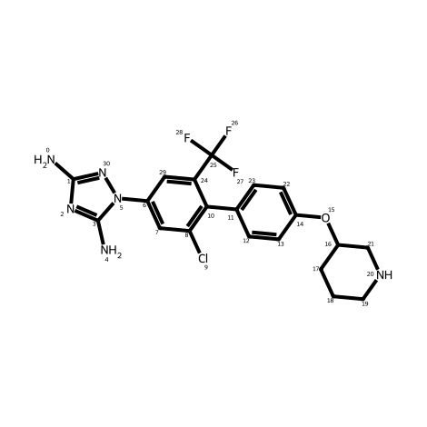 Nc1nc(N)n(-c2cc(Cl)c(-c3ccc(OC4CCCNC4)cc3)c(C(F)(F)F)c2)n1